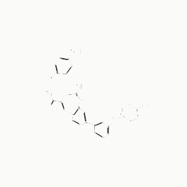 CCCN(OCc1ccc(N)cc1)C(=O)C1=Cc2ccc(-c3cccc(S(=O)(=O)N4CCC(O)CC4)c3)cc2N=C(N)C1